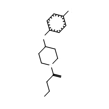 CC[CH]C(=O)N1CCC(Oc2ccc(Cl)cc2)CC1